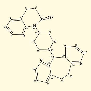 O=C1CCc2ccccc2N1C1CCN(C2c3ccccc3CCc3ccccc32)CC1